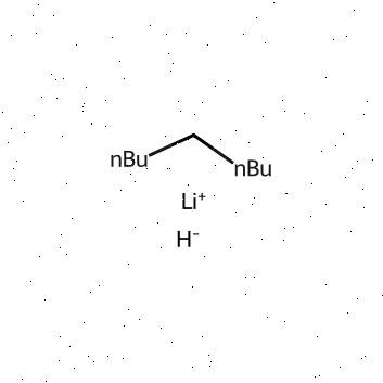 CCCCCCCCC.[H-].[Li+]